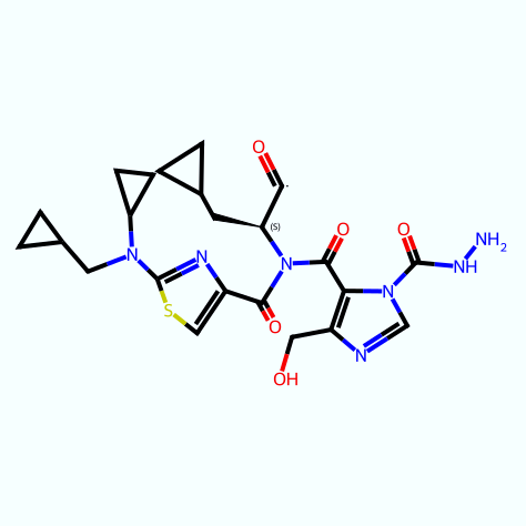 NNC(=O)n1cnc(CO)c1C(=O)N(C(=O)c1csc(N(CC2CC2)C2CC2)n1)[C@H]([C]=O)CC1CC1